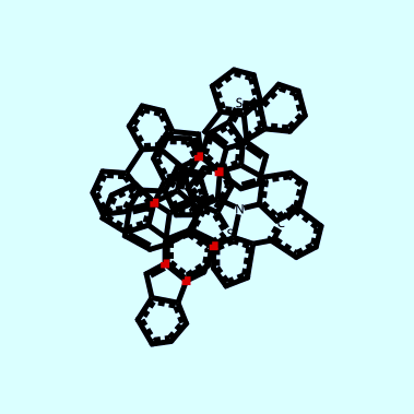 C1=CC2(C3=Cc4ccccc4C3=C1)C1=Cc3ccccc3C1=CC=C2C1=C(N(c2ccccc2-c2ccccc2)c2ccccc2-c2cccc3sc4ccccc4c23)C2(C=CC=C3C2=Cc2ccccc23)C2=Cc3cccc(-c4ccccc4-c4ccccc4)c3C2=C1c1ccccc1-c1cccc2sc3ccccc3c12